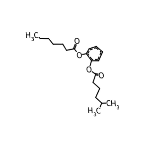 CCCCCCC(=O)Oc1ccccc1OC(=O)CCCC(C)C